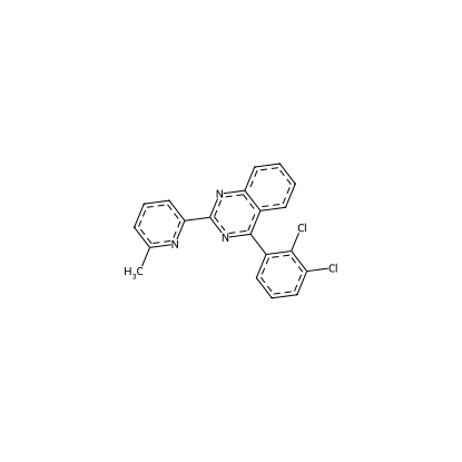 Cc1cccc(-c2nc(-c3cccc(Cl)c3Cl)c3ccccc3n2)n1